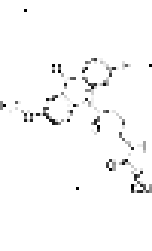 C[C@H](CNC(=O)OC(C)(C)C)CC(=O)Nc1ccc(OC(F)(F)F)cc1C(=O)c1ccc(F)cc1